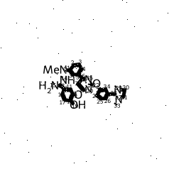 CNc1cccc(-c2cc(Oc3cc(C(=N)N)ccc3O)nc(Oc3cccc(C4=NCCN4C)c3)n2)c1